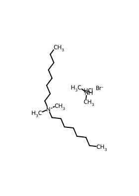 CCCCCCCC[N+](C)(C)CCCCCCCC.CNC.Cl.[Br-]